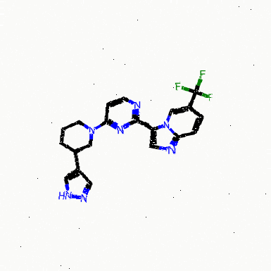 FC(F)(F)c1ccc2ncc(-c3nccc(N4CCCC(c5cn[nH]c5)C4)n3)n2c1